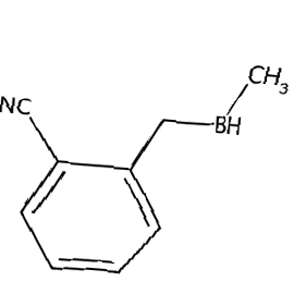 CBCc1ccccc1C#N